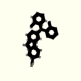 Cc1ccccc1N(c1ccc2sc3cc(Cl)ccc3c2c1)c1ccccc1C